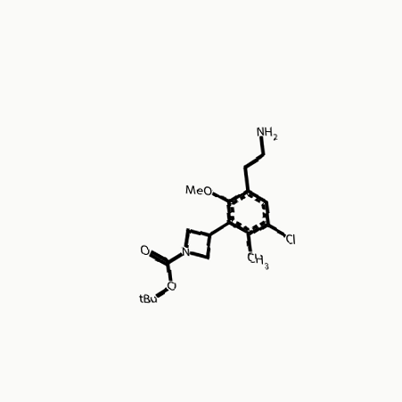 COc1c(CCN)cc(Cl)c(C)c1C1CN(C(=O)OC(C)(C)C)C1